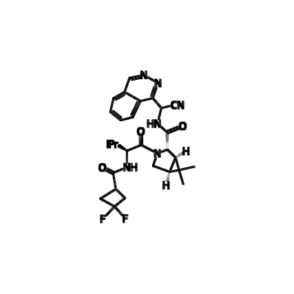 CC(C)[C@H](NC(=O)C1CC(F)(F)C1)C(=O)N1C[C@H]2[C@@H]([C@H]1C(=O)NC(C#N)c1nncc3ccccc13)C2(C)C